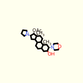 CC(=O)O[C@H]1[C@@H](N2CCCC2)CC2C3CCC4CC(O)[C@@H](N5CCOCC5)C[C@]4(C)C3CC[C@@]21C